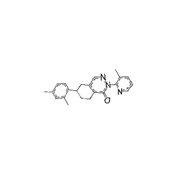 Cc1ccc(C2CCc3c(cnn(-c4ncccc4C)c3=O)C2)c(C)c1